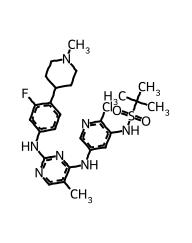 Cc1cnc(Nc2ccc(C3CCN(C)CC3)c(F)c2)nc1Nc1cnc(Cl)c(NS(=O)(=O)C(C)(C)C)c1